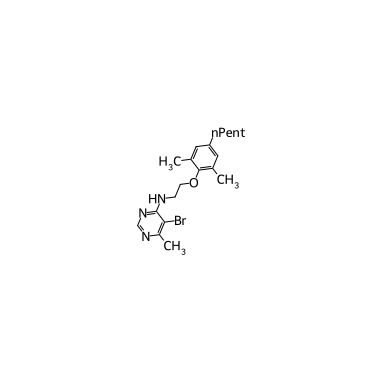 CCCCCc1cc(C)c(OCCNc2ncnc(C)c2Br)c(C)c1